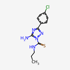 CCCNC(=S)n1nc(-c2ccc(Cl)cc2)nc1N